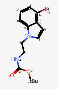 CC(C)(C)OC(=O)NCCn1ccc2c(Br)cccc21